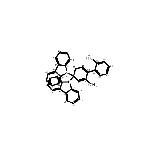 CC1=CC(n2c3ccccc3c3ccccc32)(n2c3ccccc3c3ccccc32)CC=C1c1ccccc1C